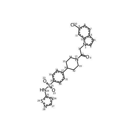 O=C(Cn1ccc2ccc(Cl)cc21)N1CCC(c2ccc(S(=O)(=O)Nc3ncns3)cc2)CC1